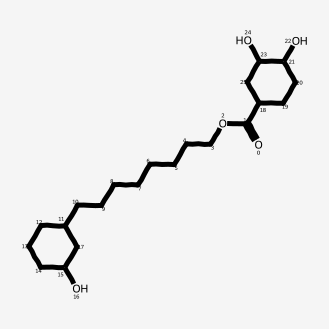 O=C(OCCCCCCCCC1CCCC(O)C1)C1CCC(O)C(O)C1